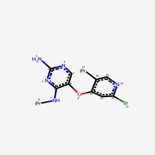 CC(C)Nc1nc(N)ncc1Oc1cc(Br)ncc1C(C)C